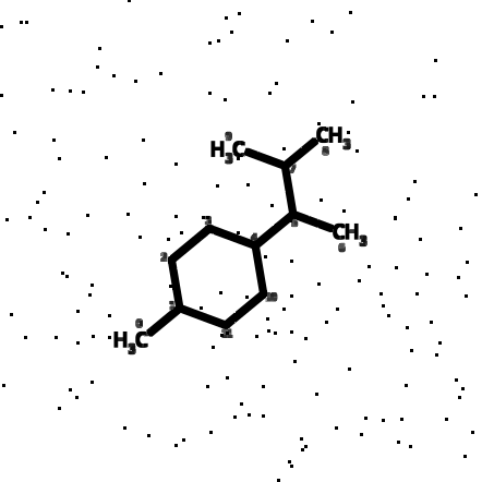 CC1CCC(C(C)C(C)C)CC1